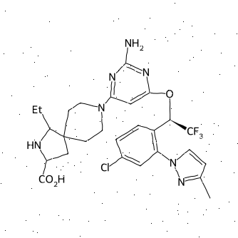 CCC1NC(C(=O)O)CC12CCN(c1cc(O[C@H](c3ccc(Cl)cc3-n3ccc(C)n3)C(F)(F)F)nc(N)n1)CC2